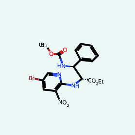 CCOC(=O)[C@H](Nc1ncc(Br)cc1[N+](=O)[O-])[C@@H](NC(=O)OC(C)(C)C)c1ccccc1